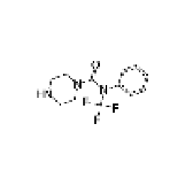 O=C(N1CCNCC1)N(c1ccccc1)C(F)(F)F